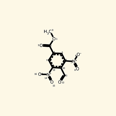 COC(=O)c1cc([N+](=O)[O-])c(C=O)c([N+](=O)[O-])c1